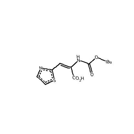 CC(C)(C)OC(=O)N/C(=C/c1nccs1)C(=O)O